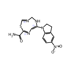 NC(=O)/C1=N/C=C(\N2CCc3cc([N+](=O)[O-])ccc32)NC/N=C/S1